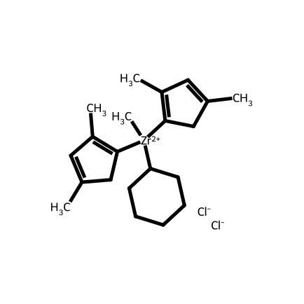 CC1=CC(C)=[C]([Zr+2]([CH3])([C]2=C(C)C=C(C)C2)[CH]2CCCCC2)C1.[Cl-].[Cl-]